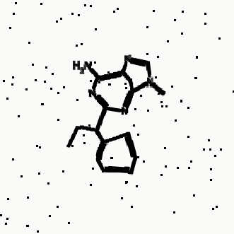 CCC(c1ccccc1)c1nc(N)c2ncn(C)c2n1